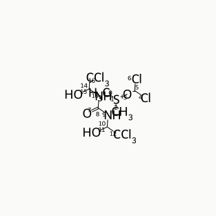 C[S+](C)[O-].ClCCl.O=C(NC(O)C(Cl)(Cl)Cl)NC(O)C(Cl)(Cl)Cl